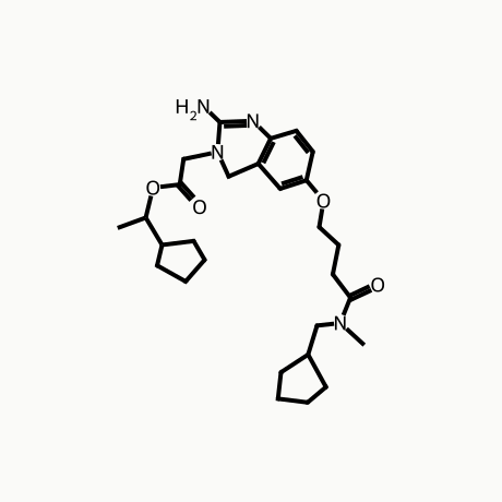 CC(OC(=O)CN1Cc2cc(OCCCC(=O)N(C)CC3CCCC3)ccc2N=C1N)C1CCCC1